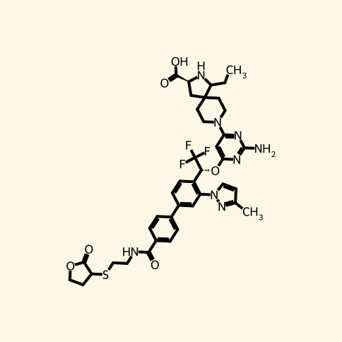 CCC1N[C@H](C(=O)O)CC12CCN(c1cc(O[C@H](c3ccc(-c4ccc(C(=O)NCCSC5CCOC5=O)cc4)cc3-n3ccc(C)n3)C(F)(F)F)nc(N)n1)CC2